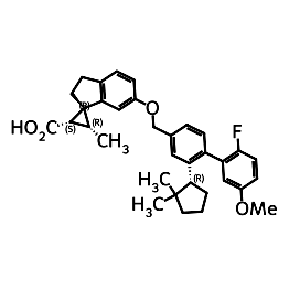 COc1ccc(F)c(-c2ccc(COc3ccc4c(c3)[C@]3(CC4)[C@H](C)[C@@H]3C(=O)O)cc2[C@@H]2CCCC2(C)C)c1